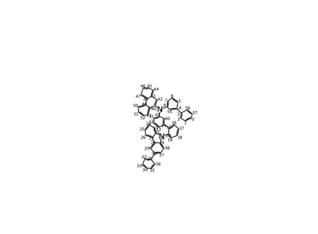 c1ccc(-c2cccc(N(c3cccc(-c4ccccc4-n4c5ccccc5c5cc(-c6ccccc6)ccc54)c3)c3cc4ccccc4c4ccccc34)c2)cc1